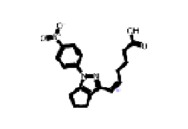 O=C(O)CCC/C=C\c1nn(-c2ccc([N+](=O)[O-])cc2)c2c1CCC2